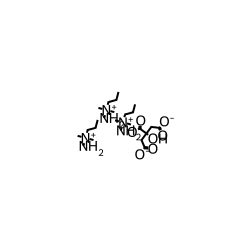 CCC[N+](C)(C)N.CCC[N+](C)(C)N.CCC[N+](C)(C)N.O=C([O-])CC(O)(CC(=O)[O-])C(=O)[O-]